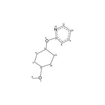 COC1CCC(Oc2ccccn2)CC1